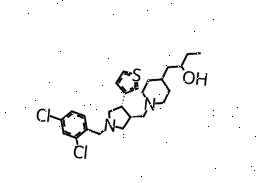 CCC(O)CC1CCN(C[C@H]2CN(Cc3ccc(Cl)cc3Cl)C[C@@H]2c2ccsc2)CC1